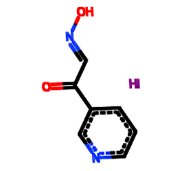 I.O=C(/C=N/O)c1cccnc1